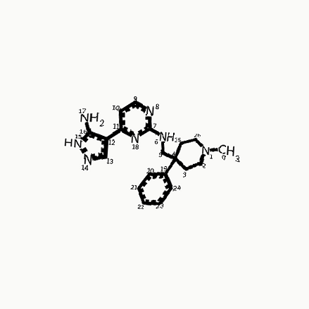 CN1CCC(CNc2nccc(-c3cn[nH]c3N)n2)(c2ccccc2)CC1